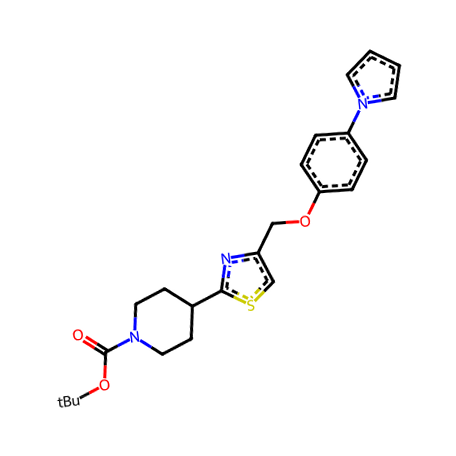 CC(C)(C)OC(=O)N1CCC(c2nc(COc3ccc(-n4cccc4)cc3)cs2)CC1